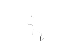 NC1CC12CCC1(CCC3(CC3)CC1)CC2